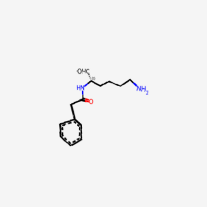 NCCCC[C@@H]([C]=O)NC(=O)Cc1ccccc1